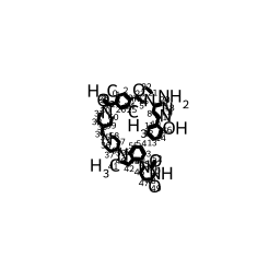 Cc1cc([C@@H]2CN(c3cc(-c4ccccc4O)nnc3N)CCO2)c(C)cc1C(=O)N1CCC(CN2CCC(n3c(C)cc4c(N5CCC(=O)NC5=O)cccc43)CC2)CC1